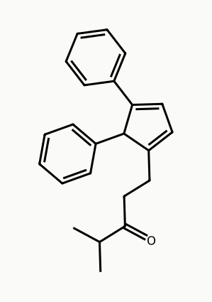 CC(C)C(=O)CCC1=CC=C(c2ccccc2)C1c1ccccc1